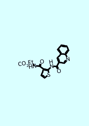 CCOC(=O)NC(=O)c1ccsc1NC(=O)c1cnc2ccccc2c1